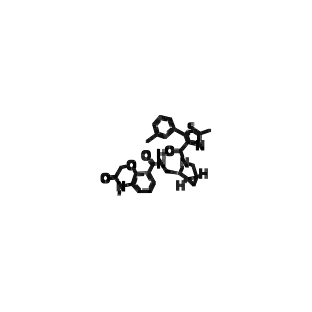 Cc1cccc(-c2sc(C)nc2C(=O)N2C[C@@H]3C[C@@H]3[C@H]2CNC(=O)c2cccc3c2OCC(=O)N3C)c1